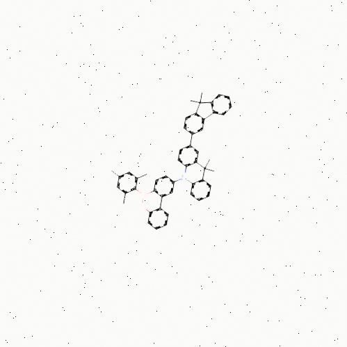 Cc1cc(C)c(B2Oc3ccccc3-c3cc(N4c5ccccc5C(C)(C)c5cc(-c6ccc7c(c6)-c6ccccc6C7(C)C)ccc54)ccc32)c(C)c1